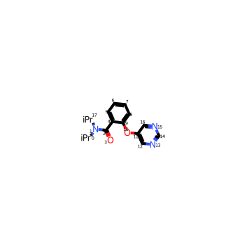 CC(C)N(C(=O)c1ccccc1Oc1cncnc1)C(C)C